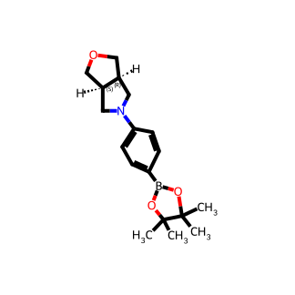 CC1(C)OB(c2ccc(N3C[C@H]4COC[C@H]4C3)cc2)OC1(C)C